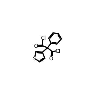 O=C(Cl)C(C(=O)Cl)(c1ccccc1)c1ccsc1